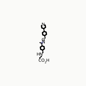 C/C(=N\OCc1ccc(-c2ccncc2)cc1)c1ccc(CNCCC(=O)O)cc1